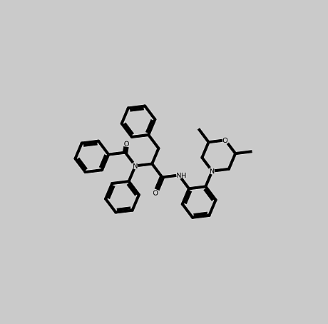 CC1CN(c2ccccc2NC(=O)C(Cc2ccccc2)N(C(=O)c2ccccc2)c2ccccc2)CC(C)O1